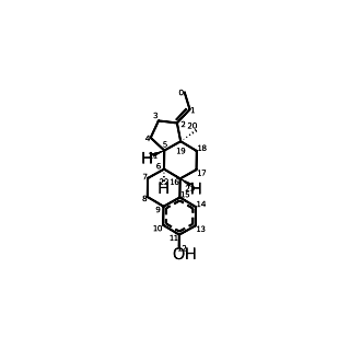 C/C=C1\CC[C@H]2[C@@H]3CCc4cc(O)ccc4[C@H]3CC[C@]12C